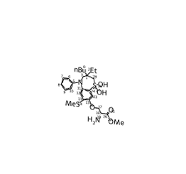 CCCC[C@]1(CC)CN(c2ccccc2)c2cc(SC)c(OC[C@@H](N)C(=O)OC)cc2S(O)(O)C1